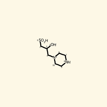 O=S(=O)(O)CC(O)CN1CCNCC1